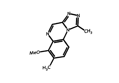 COc1c(C)ccc2c1ncc1nnc(C)n12